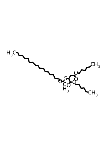 CCCCCCCCCCCCCCCCCCO[C@H](C)SC(CC(=O)OCCCCCC)C(=O)OCCCCCC